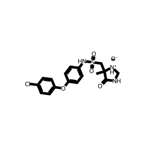 CC1(CS(=O)(=O)Nc2ccc(Oc3ccc(Cl)cc3)cc2)C(=O)NC[NH+]1[O-]